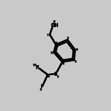 OCc1cccc(SC(F)F)c1